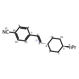 CCC[C@H]1CC[C@H](/C=C/c2ccc(C#N)cc2)CC1